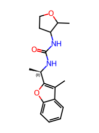 Cc1c([C@@H](C)NC(=O)NC2CCOC2C)oc2ccccc12